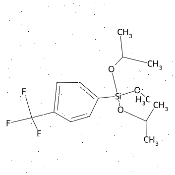 CO[Si](OC(C)C)(OC(C)C)c1ccc(C(F)(F)F)cc1